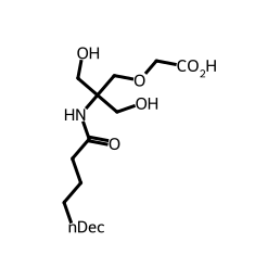 CCCCCCCCCCCCCC(=O)NC(CO)(CO)COCC(=O)O